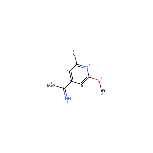 CSC(=N)c1cc(Cl)nc(OC(C)C)c1